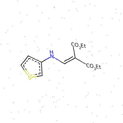 CCOC(=O)C(=CNc1ccsc1)C(=O)OCC